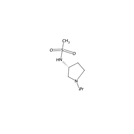 CC(C)N1CC[C@@H](NS(C)(=O)=O)C1